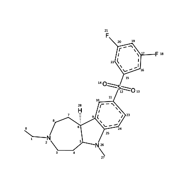 CCN1CCC2[C@@H](CC1)c1cc(S(=O)(=O)c3cc(F)cc(F)c3)ccc1N2C